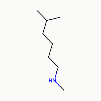 CNCCCCC(C)C